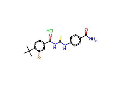 CC(C)(C)c1ccc(C(=O)NC(=S)Nc2ccc(C(N)=O)cc2)cc1Br.Cl